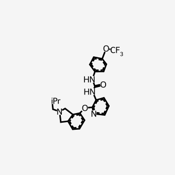 CC(C)CN1Cc2cccc(Oc3ncccc3NC(=O)Nc3ccc(OC(F)(F)F)cc3)c2C1